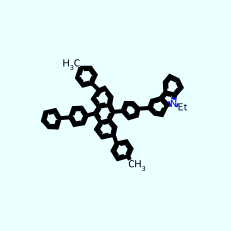 CCn1c2ccccc2c2cc(-c3ccc(-c4c5ccc(-c6ccc(C)cc6)cc5c(-c5ccc(-c6ccccc6)cc5)c5ccc(-c6ccc(C)cc6)cc45)cc3)ccc21